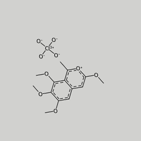 COc1cc2cc(OC)c(OC)c(OC)c2c(C)[o+]1.[O-][Cl+3]([O-])([O-])[O-]